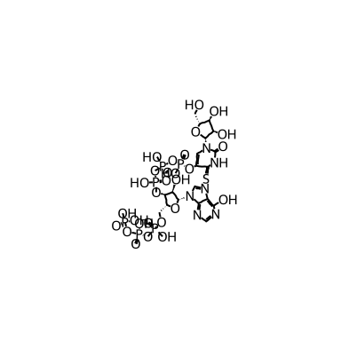 O=c1[nH]c(=S)c(OP(=O)(O)OP(=O)(O)OP(=O)(O)O[C@H]2[C@@H](O)[C@H](n3cnc4c(O)ncnc43)O[C@@H]2COP(=O)(O)OP(=O)(O)OP(=O)(O)O)cn1[C@@H]1O[C@H](CO)[C@@H](O)[C@H]1O